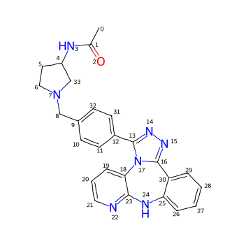 CC(=O)NC1CCN(Cc2ccc(-c3nnc4n3-c3cccnc3Nc3ccccc3-4)cc2)C1